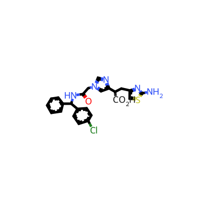 Nc1nc(CC(C(=O)O)c2cn(CC(=O)NC(c3ccccc3)c3ccc(Cl)cc3)cn2)cs1